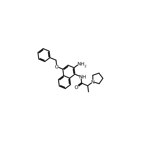 CC(C(=O)Nc1c(N)cc(OCc2ccccc2)c2ccccc12)N1CCCC1